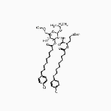 CCCCCCCCCCCCC(OC(=O)CCCCCCCCc1ccc(Cl)cc1)C(=O)N[C@H]1C(O[SiH](C)C)O[C@H](COC(C)(C)C)[C@@H](O)[C@@H]1OC(=O)CCCCCCCCc1ccc(Cl)cc1